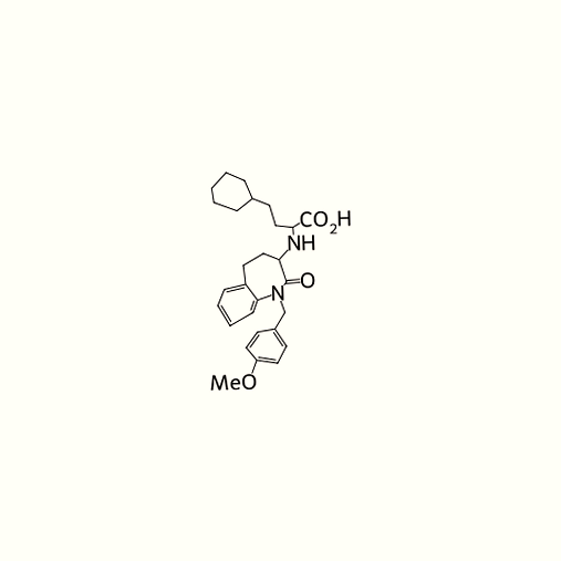 COc1ccc(CN2C(=O)C(NC(CCC3CCCCC3)C(=O)O)CCc3ccccc32)cc1